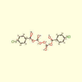 O=C(OOC(=O)OC(=O)c1ccc(Cl)cc1)OC(=O)c1ccc(Cl)cc1